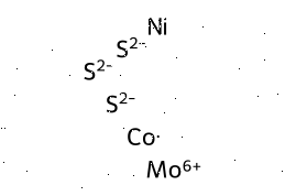 [Co].[Mo+6].[Ni].[S-2].[S-2].[S-2]